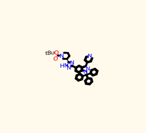 CC(C)(C)OC(=O)N1CCC[C@@H](c2nc(-c3ccc4c(c3)c(-c3ccncc3)nn4C(c3ccccc3)(c3ccccc3)c3ccccc3)n[nH]2)C1